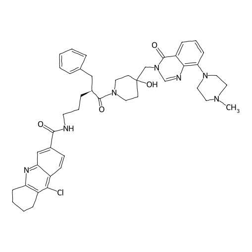 CN1CCN(c2cccc3c(=O)n(CC4(O)CCN(C(=O)[C@@H](CCCNC(=O)c5ccc6c(Cl)c7c(nc6c5)CCCC7)Cc5ccccc5)CC4)cnc23)CC1